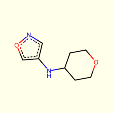 c1nocc1NC1CCOCC1